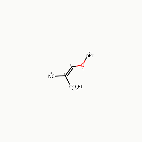 CCCOC=C(C#N)C(=O)OCC